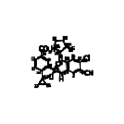 N#Cc1cc(NS(=O)(=O)c2cc(C(=O)O)ccc2C2CC2)c(O[C@@H]2CCC[C@H]2F)cc1Cl